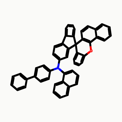 c1ccc(-c2ccc(N(c3ccc4c(c3)C3(c5ccccc5Oc5c3ccc3ccccc53)c3ccccc3-4)c3cccc4ccccc34)cc2)cc1